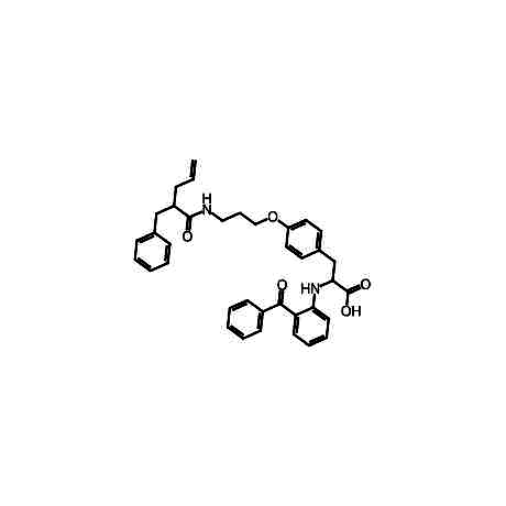 C=CCC(Cc1ccccc1)C(=O)NCCCOc1ccc(CC(Nc2ccccc2C(=O)c2ccccc2)C(=O)O)cc1